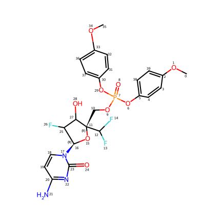 COc1ccc(OP(=O)(OC[C@@]2(C(F)F)O[C@@H](n3ccc(N)nc3=O)C(F)C2O)Oc2ccc(OC)cc2)cc1